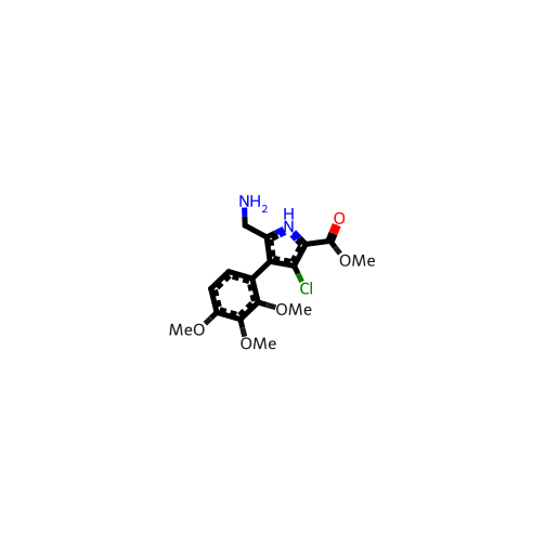 COC(=O)c1[nH]c(CN)c(-c2ccc(OC)c(OC)c2OC)c1Cl